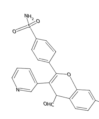 NS(=O)(=O)c1ccc(C2=C(c3cccnc3)C(C=O)c3ccc(F)cc3O2)cc1